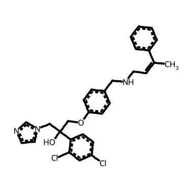 CC(=CCNCc1ccc(OCC(O)(Cn2ccnc2)c2ccc(Cl)cc2Cl)cc1)c1ccccc1